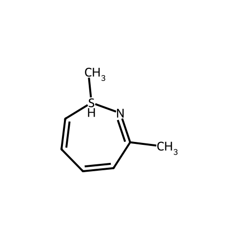 CC1=N[SH](C)C=CC=C1